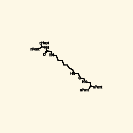 CCCCCCCC(CCCCC)NC(=O)CNCCCCCCCNCOCNCC(CCCCC)CCCCC